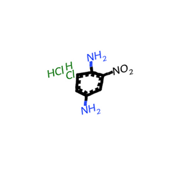 Cl.Cl.Nc1ccc(N)c([N+](=O)[O-])c1